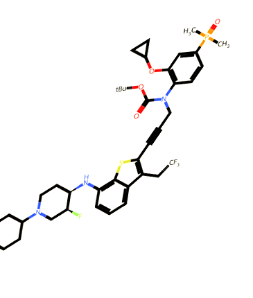 CC(C)(C)OC(=O)N(CC#Cc1sc2c(N[C@@H]3CCN(C4CCOCC4)C[C@@H]3F)cccc2c1CC(F)(F)F)c1ccc(P(C)(C)=O)cc1OC1CC1